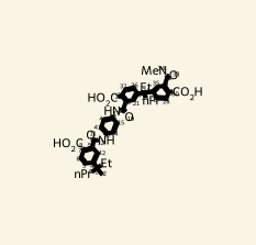 CCCC(C)(CC)c1ccc(C(=O)O)c(C(=O)Nc2ccc(NC(=O)c3cc(C(CC)(CCC)c4ccc(C(=O)O)c(C(=O)NC)c4)ccc3C(=O)O)cc2)c1